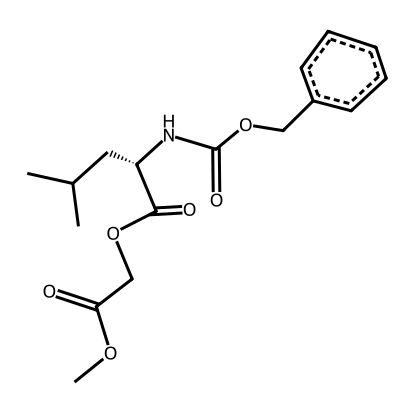 COC(=O)COC(=O)[C@H](CC(C)C)NC(=O)OCc1ccccc1